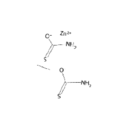 CC.NC([O-])=S.NC([O-])=S.[Zn+2]